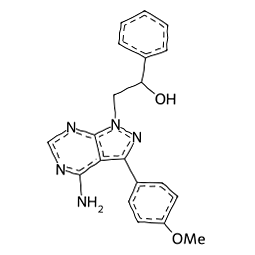 COc1ccc(-c2nn(CC(O)c3ccccc3)c3ncnc(N)c23)cc1